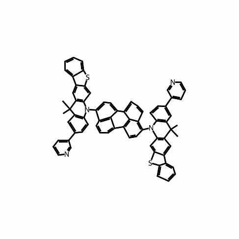 CC1(C)c2cc(-c3cccnc3)ccc2N(c2ccc3c4cccc5c(N6c7ccc(-c8cccnc8)cc7C(C)(C)c7cc8c(cc76)sc6ccccc68)ccc(c6cccc2c63)c54)c2cc3sc4ccccc4c3cc21